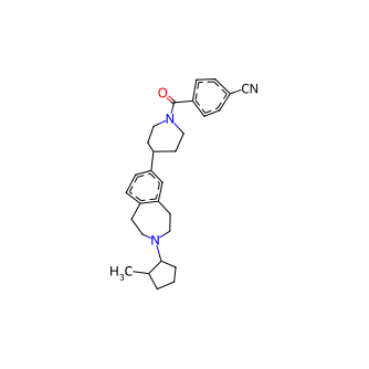 CC1CCCC1N1CCc2ccc(C3CCN(C(=O)c4ccc(C#N)cc4)CC3)cc2CC1